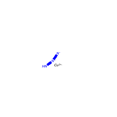 [Cu+2].[N-]=[N+]=N